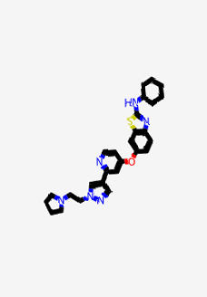 c1cc(Oc2ccc3nc(NC4CCCCC4)sc3c2)cc(-c2cnn(CCN3CCCC3)c2)n1